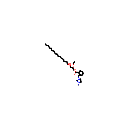 CCCCCCCCCCCCCCCCOCC(COC(=O)c1ccccc1CN1C=CN(C)C1)OCC